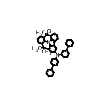 CC1(C)c2cccc3c2-n2c4c1cccc4c1cc(N(c4ccc(-c5ccccc5)cc4)c4cccc(-c5ccccc5)c4)cc(c12)C3(C)C